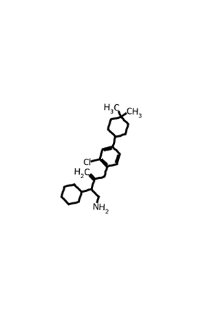 C=C(Cc1ccc(C2CCC(C)(C)CC2)cc1Cl)C(CN)C1CCCCC1